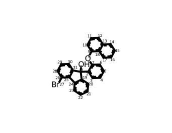 OC1(c2ccccc2Oc2cccc3ccccc23)c2ccccc2-c2c(Br)cccc21